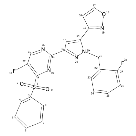 O=S(=O)(c1ccccc1)c1nc(-c2cc(-c3ccon3)n(Cc3ccccc3F)n2)ncc1F